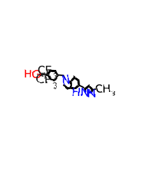 Cc1cc(-c2ccc3c(ccn3Cc3ccc(C(O)(C(F)(F)F)C(F)(F)F)cc3)c2)[nH]n1